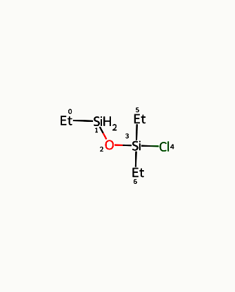 CC[SiH2]O[Si](Cl)(CC)CC